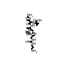 C=C1C(NC(=O)/C(=N\OC2(C(=O)O)CC2)c2csc(N)n2)C(Cn2ncc(CNC(=N)NCCCN)n2)N1S(=O)(=O)O